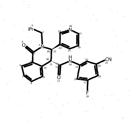 CC(C)CN1C(=O)c2ccccc2[C@@H](C(=O)Nc2cc(F)cc(C#N)c2)[C@@H]1c1cccnc1